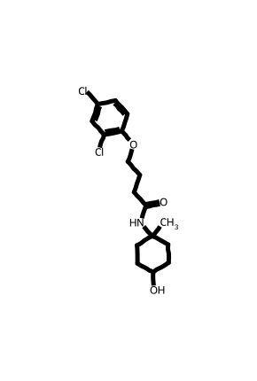 CC1(NC(=O)CCCOc2ccc(Cl)cc2Cl)CCC(O)CC1